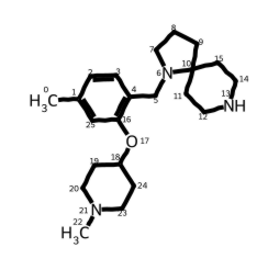 Cc1ccc(CN2CCCC23CCNCC3)c(OC2CCN(C)CC2)c1